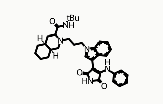 CC(C)(C)NC(=O)C1C[C@@H]2CCCC[C@@H]2CN1CCCn1cc(C2=C(Nc3ccccc3)C(=O)NC2=O)c2ccccc21